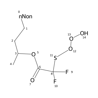 CCCCCCCCCCCC(C)OC(=O)C(F)(F)SOOO